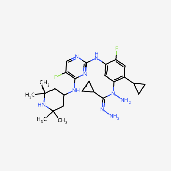 CC1(C)CC(Nc2nc(Nc3cc(N(N)/C(=N\N)C4CC4)c(C4CC4)cc3F)ncc2F)CC(C)(C)N1